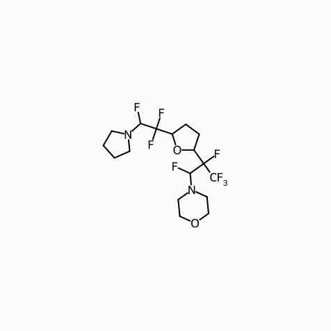 FC(N1CCCC1)C(F)(F)C1CCC(C(F)(C(F)N2CCOCC2)C(F)(F)F)O1